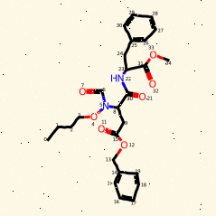 CCCCON(C=O)C(CC(=O)OCc1ccccc1)C(=O)NC(Cc1ccccc1)C(=O)OC